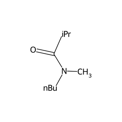 CCCCN(C)C(=O)C(C)C